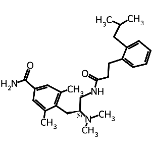 Cc1cc(C(N)=O)cc(C)c1C[C@@H](CNC(=O)CCc1ccccc1CC(C)C)N(C)C